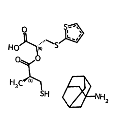 C[C@H](CS)C(=O)O[C@@H](CSc1cccs1)C(=O)O.NC12CC3CC(CC(C3)C1)C2